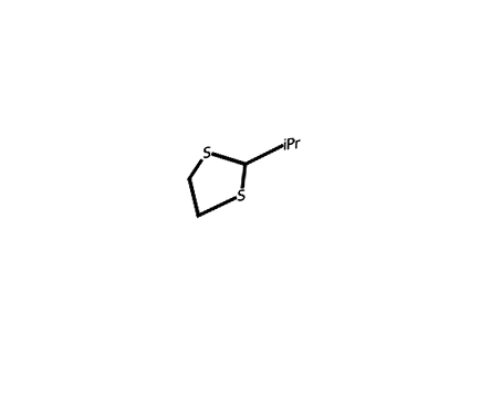 CC(C)C1SCCS1